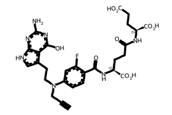 C#CCN(CCc1c[nH]c2nc(N)nc(O)c12)c1ccc(C(=O)N[C@@H](CCC(=O)N[C@@H](CCC(=O)O)C(=O)O)C(=O)O)c(F)c1